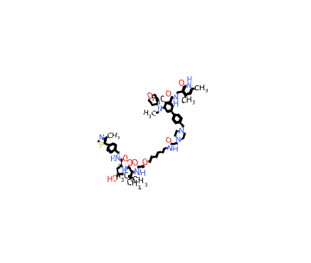 CCN(c1cc(-c2ccc(CN3CCN(CC(=O)NCCCCCCOCC(=O)NC(C(=O)N4C[C@H](O)C[C@H]4C(=O)NCc4ccc(-c5scnc5C)cc4)C(C)(C)C)CC3)cc2)cc(C(=O)NCc2c(C)cc(C)[nH]c2=O)c1C)C1CCOCC1